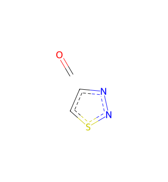 C=O.c1csnn1